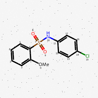 COc1ccccc1S(=O)(=O)Nc1[c]cc(Cl)cc1